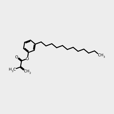 C=C(C)C(=O)Oc1cccc(CCCCCCCCCCCC)c1